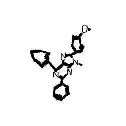 COc1ccc(-c2nc3c(-c4ccccc4)nc(-c4ccccc4)nc3n2C)cc1